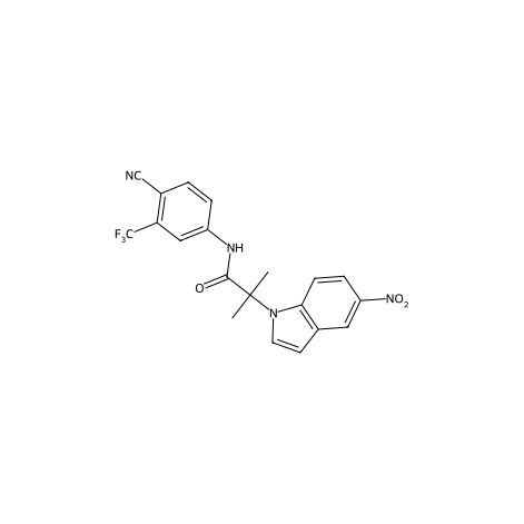 CC(C)(C(=O)Nc1ccc(C#N)c(C(F)(F)F)c1)n1ccc2cc([N+](=O)[O-])ccc21